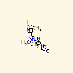 Cc1cc(-c2cn([C@H]3[C@@H]4CC(N5CCN(C)CC5)C[C@@H]43)c(C(C)C)n2)cnc1N